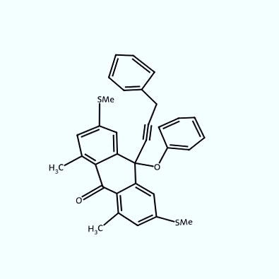 CSc1cc(C)c2c(c1)C(C#CCc1ccccc1)(Oc1ccccc1)c1cc(SC)cc(C)c1C2=O